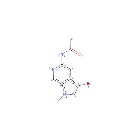 CC(=O)Nc1cc2c(Br)cn(C)c2cn1